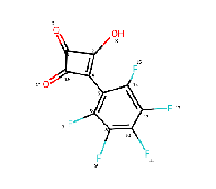 O=c1c(O)c(-c2c(F)c(F)c(F)c(F)c2F)c1=O